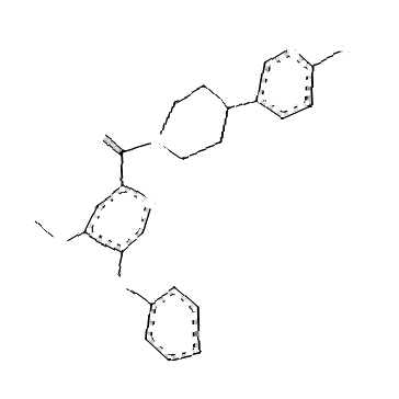 COc1cc(C(=O)N2CCC(c3ccc(N)nc3)CC2)ncc1Oc1ccccc1